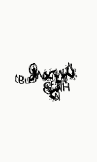 CC(C)(C)OC(=O)N1CC2(CCN(c3cc(Nc4cc(OC(F)(F)F)ccn4)nc(-c4cccnc4)n3)C2)C1